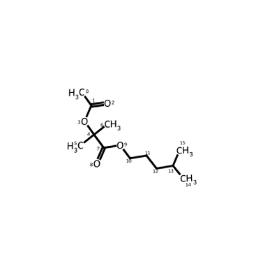 CC(=O)OC(C)(C)C(=O)OCCCC(C)C